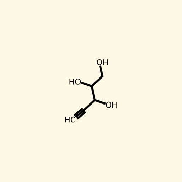 C#CC(O)C(O)CO